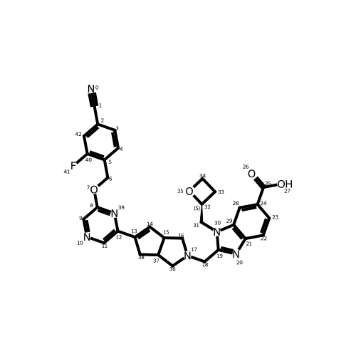 N#Cc1ccc(COc2cncc(C3=CC4CN(Cc5nc6ccc(C(=O)O)cc6n5C[C@@H]5CCO5)CC4C3)n2)c(F)c1